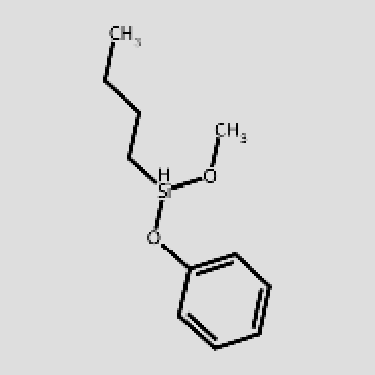 CCCC[SiH](OC)Oc1ccccc1